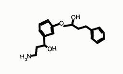 NCCC(O)c1cccc(OCC(O)CCc2ccccc2)c1